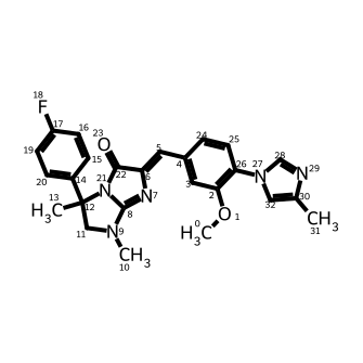 COc1cc(/C=C2\N=C3N(C)CC(C)(c4ccc(F)cc4)N3C2=O)ccc1-n1cnc(C)c1